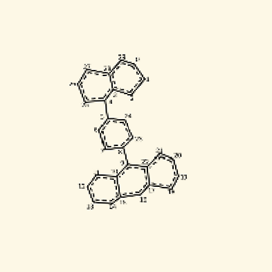 c1ccc2c(-c3ccc(-c4c5ccccc5cc5ccccc45)cc3)cccc2c1